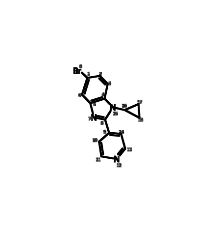 Brc1ccc2c(c1)nc(-c1ccncc1)n2C1CC1